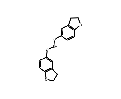 B(Oc1ccc2c(c1)CCO2)Oc1ccc2c(c1)CCO2